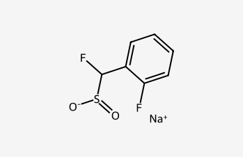 O=S([O-])C(F)c1ccccc1F.[Na+]